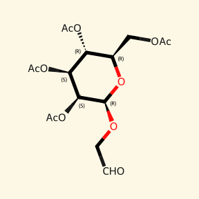 CC(=O)OC[C@H]1O[C@@H](OCC=O)[C@@H](OC(C)=O)[C@@H](OC(C)=O)[C@@H]1OC(C)=O